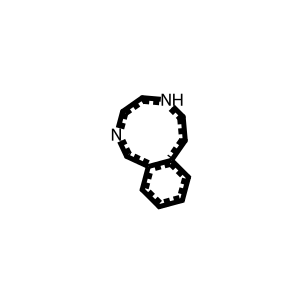 c1ccc2cncc[nH]ccc2c1